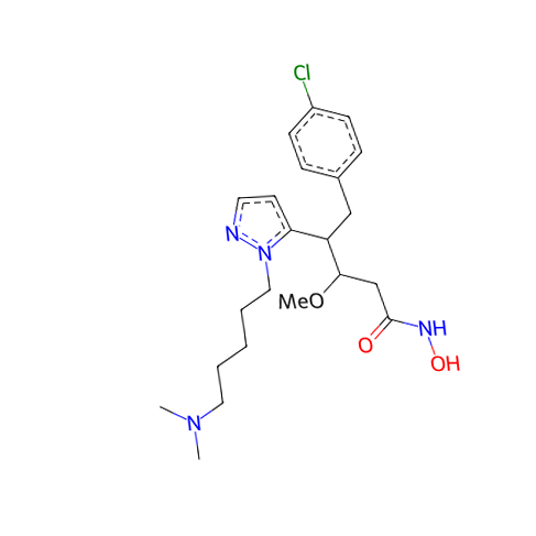 COC(CC(=O)NO)C(Cc1ccc(Cl)cc1)c1ccnn1CCCCCN(C)C